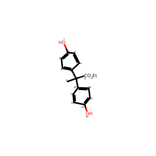 CCOC(=O)C(C)(c1ccc(O)cc1)c1ccc(O)cc1